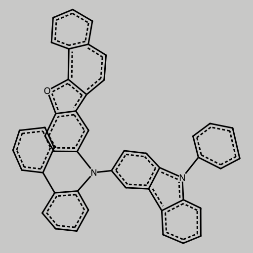 c1ccc(-c2ccccc2N(c2ccc3oc4c5ccccc5ccc4c3c2)c2ccc3c(c2)c2ccccc2n3-c2ccccc2)cc1